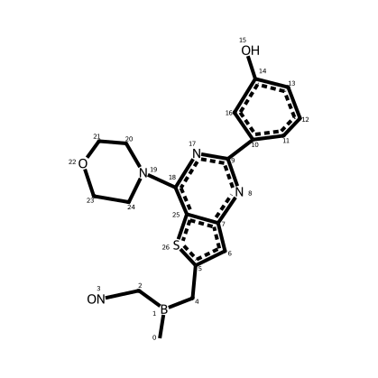 CB(CN=O)Cc1cc2nc(-c3cccc(O)c3)nc(N3CCOCC3)c2s1